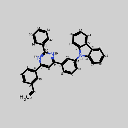 C=Cc1cccc(-c2cc(-c3cccc(-n4c5ccccc5c5ccccc54)c3)nc(-c3ccccc3)n2)c1